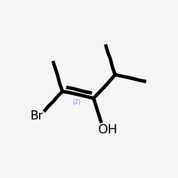 C/C(Br)=C(/O)C(C)C